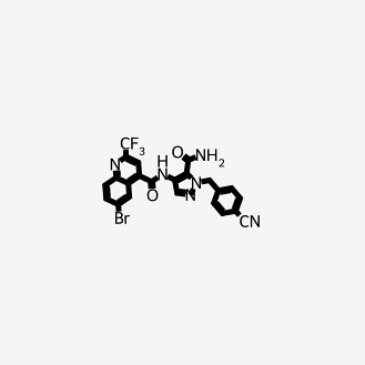 N#Cc1ccc(Cn2ncc(NC(=O)c3cc(C(F)(F)F)nc4ccc(Br)cc34)c2C(N)=O)cc1